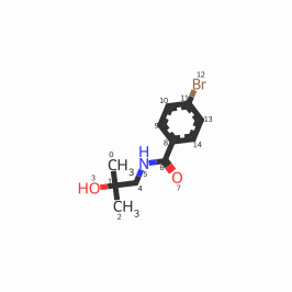 CC(C)(O)CNC(=O)c1ccc(Br)cc1